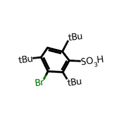 CC(C)(C)c1cc(C(C)(C)C)c(S(=O)(=O)O)c(C(C)(C)C)c1Br